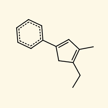 CCC1=C(C)C=C(c2ccccc2)C1